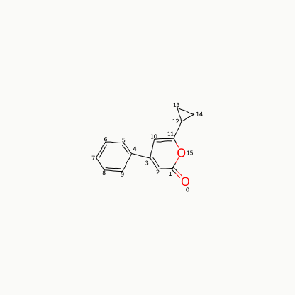 O=c1cc(-c2ccccc2)cc(C2CC2)o1